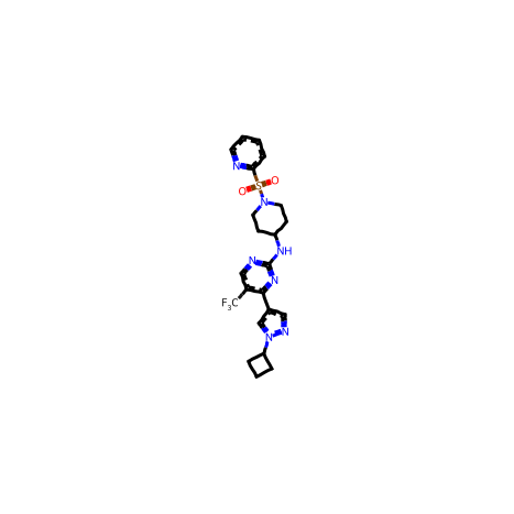 O=S(=O)(c1ccccn1)N1CCC(Nc2ncc(C(F)(F)F)c(-c3cnn(C4CCC4)c3)n2)CC1